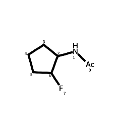 CC(=O)NC1CCCC1F